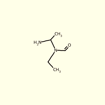 CCN(C=O)C(C)N